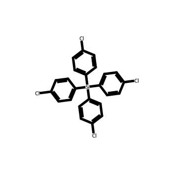 Clc1ccc([Si](c2ccc(Cl)cc2)(c2ccc(Cl)cc2)c2ccc(Cl)cc2)cc1